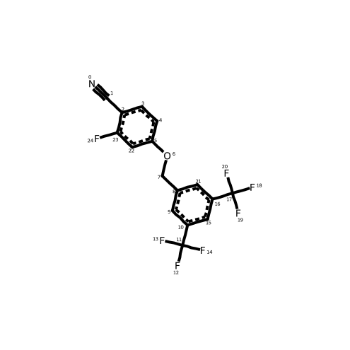 N#Cc1ccc(OCc2cc(C(F)(F)F)cc(C(F)(F)F)c2)cc1F